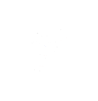 O=S(=O)(Oc1ccc(OCC2CCCCO2)nc1Cc1ccccc1)C(F)(F)F